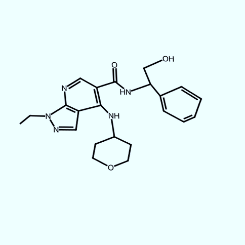 CCn1ncc2c(NC3CCOCC3)c(C(=O)NC(CO)c3ccccc3)cnc21